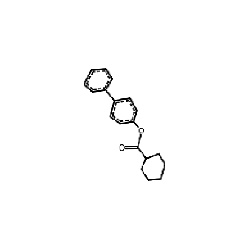 O=C(Oc1ccc(-c2ccccc2)cc1)C1CCCCC1